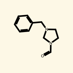 O=CN1CCN(Cc2ccccc2)C1